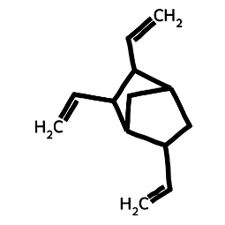 C=CC1CC2CC1C(C=C)C2C=C